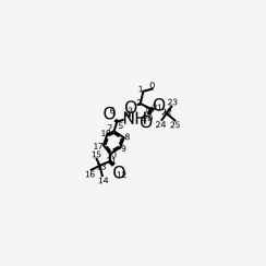 CCC(ONC(=O)c1ccc(C(=O)C(C)(C)C)cc1)C(=O)OC(C)(C)C